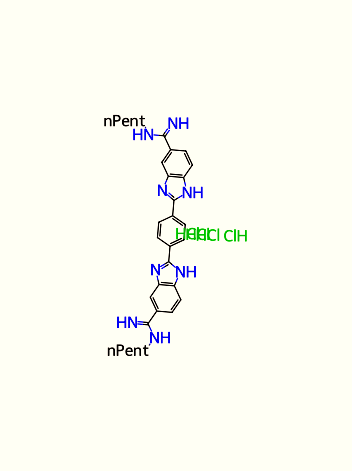 CCCCCNC(=N)c1ccc2[nH]c(-c3ccc(-c4nc5cc(C(=N)NCCCCC)ccc5[nH]4)cc3)nc2c1.Cl.Cl.Cl.Cl